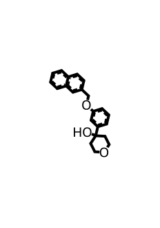 OC1(c2cccc(OCc3ccc4ccccc4c3)c2)CCOCC1